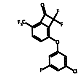 O=C1c2c(C(F)(F)F)ccc(Oc3cc(F)cc(Cl)c3)c2C1(F)F